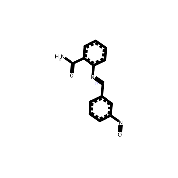 NC(=O)c1ccccc1/N=C/c1cccc(N=O)c1